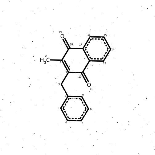 CC1=C(Cc2ccccc2)C(=O)c2ccccc2C1=O